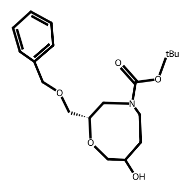 CC(C)(C)OC(=O)N1CCC(O)CO[C@H](COCc2ccccc2)C1